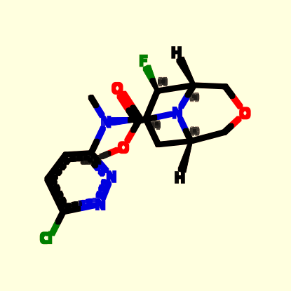 CN(c1ccc(Cl)nn1)[C@@H]1C[C@H]2COC[C@@H]([C@@H]1F)N2C(=O)OC(C)(C)C